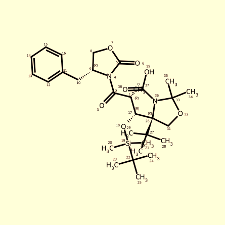 C[C@@H](C(=O)N1C(=O)OC[C@H]1Cc1ccccc1)[C@@H](O[Si](C)(C)C(C)(C)C)[C@@]1(C(C)(C)C)COC(C)(C)N1C(=O)O